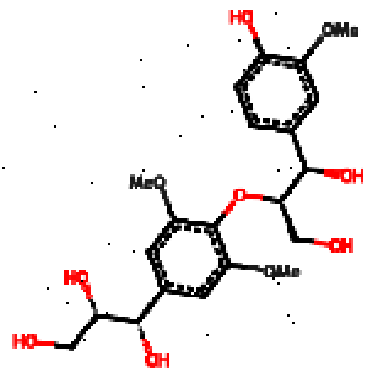 COc1cc([C@@H](O)[C@@H](CO)Oc2c(OC)cc([C@H](O)[C@@H](O)CO)cc2OC)ccc1O